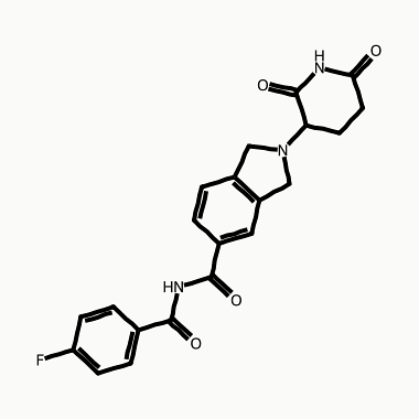 O=C1CCC(N2Cc3ccc(C(=O)NC(=O)c4ccc(F)cc4)cc3C2)C(=O)N1